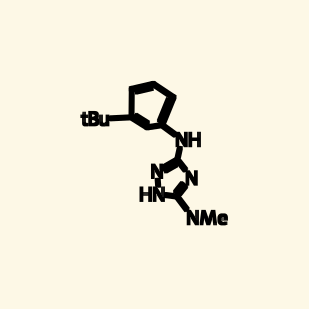 CNc1nc(Nc2cccc(C(C)(C)C)c2)n[nH]1